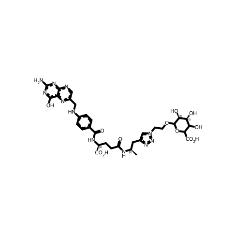 C[C@H](Cc1cn(CCOC2OC(C(=O)O)C(O)[C@H](O)[C@@H]2O)nn1)NC(=O)CC[C@H](NC(=O)c1ccc(NCc2cnc3nc(N)nc(O)c3n2)cc1)C(=O)O